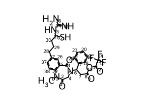 CN1C(=O)CN(C(CC(=O)OC(=O)C(F)(F)F)c2ccccc2)C(=O)c2cc(CCCC(S)NC(=N)N)ccc21